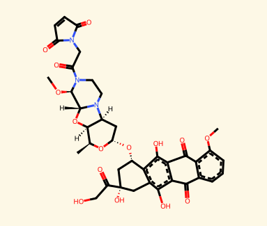 COc1cccc2c1C(=O)c1c(O)c3c(c(O)c1C2=O)C[C@@](O)(C(=O)CO)C[C@@H]3O[C@H]1C[C@H]2[C@H](O[C@@H]3[C@@H](OC)N(C(=O)CN4C(=O)C=CC4=O)CCN32)[C@H](C)O1